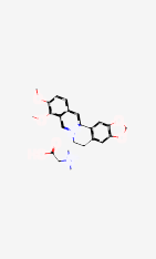 COc1ccc2cc3[n+](cc2c1OC)CCc1cc2c(cc1-3)OCO2.C[N+](C)(C)CC(=O)O